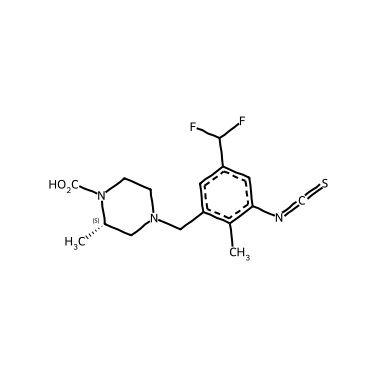 Cc1c(CN2CCN(C(=O)O)[C@@H](C)C2)cc(C(F)F)cc1N=C=S